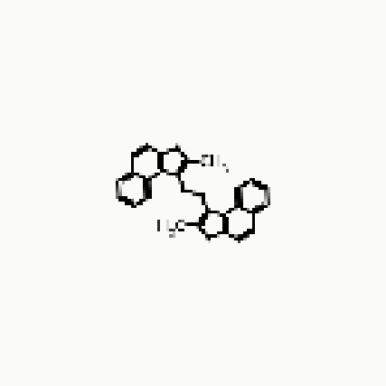 CC1=C(CCC2=C(C)[CH]c3ccc4ccccc4c32)c2c(ccc3ccccc23)[CH]1